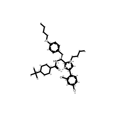 CCCCOc1ccc(C[C@H](NC(=O)C2CCC(C(C)(C)C)CC2)c2nc(-c3ccc(Cl)cc3Cl)cn2CCCC)cc1